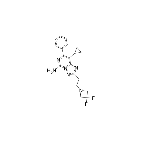 Nc1nc(-c2ccccc2)c(C2CC2)c2nc(CCN3CC(F)(F)C3)nn12